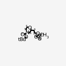 CC(C)(C)OC(=O)N1CCOC(CCOS(C)(=O)=O)C1